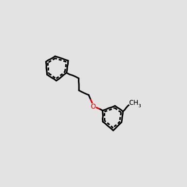 Cc1cccc(OCCCc2ccccc2)c1